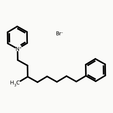 CC(CCCCCc1ccccc1)CC[n+]1ccccc1.[Br-]